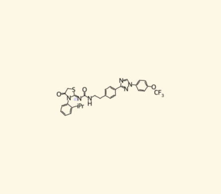 CC(C)c1ccccc1N1C(=O)CS/C1=N\C(=O)NCCc1ccc(-c2ncn(-c3ccc(OC(F)(F)F)cc3)n2)cc1